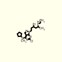 CCC(CCn1ncc2c(N(C)C3CCCC3)nc(Cl)nc21)CC(C)PCP